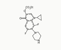 CCOC(=O)Oc1cn(C2CC2)c2c(F)c(N3CCNCC3)c(F)cc2c1=O